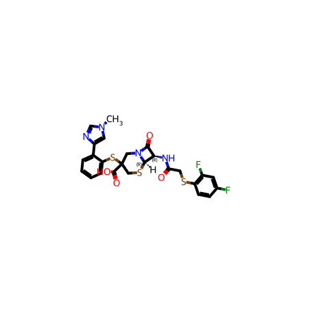 Cn1cnc(-c2ccccc2SC2(C(=O)O)CS[C@@H]3[C@H](NC(=O)CSc4ccc(F)cc4F)C(=O)N3C2)c1